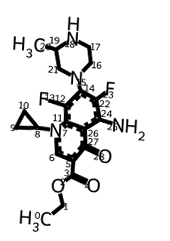 CCOC(=O)c1cn(C2CC2)c2c(F)c(N3CCNC(C)C3)c(F)c(N)c2c1=O